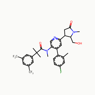 Cc1cc(F)ccc1-c1cc(C2CC(=O)N(C)C2CO)ncc1N(C)C(=O)C(C)(C)c1cc(C(F)(F)F)cc(C(F)(F)F)c1